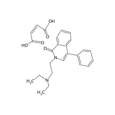 CCN(CC)CCn1cc(-c2ccccc2)c2ccccc2c1=O.O=C(O)/C=C\C(=O)O